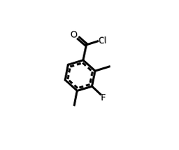 Cc1ccc(C(=O)Cl)c(C)c1F